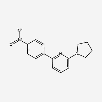 O=[N+]([O-])c1ccc(-c2cccc(N3CCCC3)n2)cc1